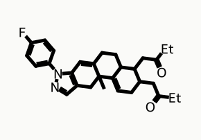 CCC(=O)CC1CC=C2C(CCC3=Cc4c(cnn4-c4ccc(F)cc4)CC32C)C1CC(=O)CC